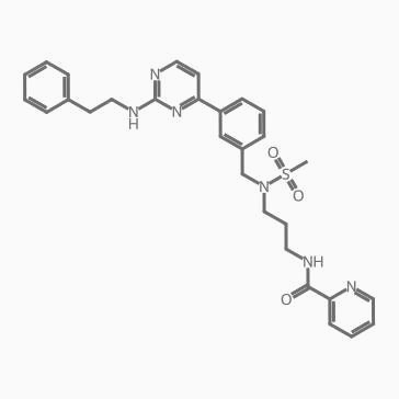 CS(=O)(=O)N(CCCNC(=O)c1ccccn1)Cc1cccc(-c2ccnc(NCCc3ccccc3)n2)c1